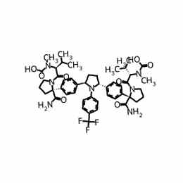 CC(C)[C@@H](C(=O)N1CCC[C@@]1(C(N)=O)c1ccc([C@H]2CC[C@H](c3ccc([C@]4(C(N)=O)CCCN4C(=O)[C@H](C(C)C)N(C)C(=O)O)cc3)N2c2ccc(C(F)(F)F)cc2)cc1)N(C)C(=O)O